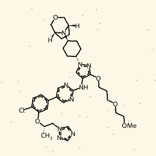 COCCOCCCOc1nn([C@H]2CC[C@H](N3[C@@H]4CC[C@H]3COC4)CC2)cc1Nc1ncc(-c2ccc(Cl)c(O[C@@H](C)Cn3cncn3)c2)cn1